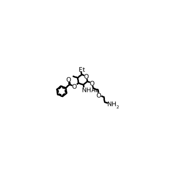 CCC1OC(OCCOCCN)C(NC(C)=O)C(OC(=O)c2ccccc2)C1C